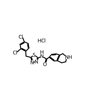 Cl.O=C(Nc1nnc(Cc2ccc(Cl)cc2Cl)s1)c1ccc2c(c1)CCNC2